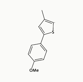 COc1ccc(-c2cc(C)[c]s2)cc1